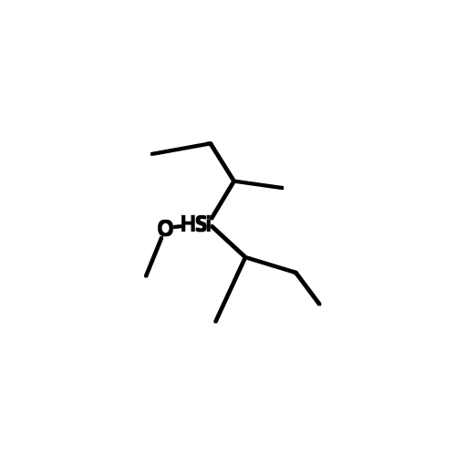 CCC(C)[SiH](OC)C(C)CC